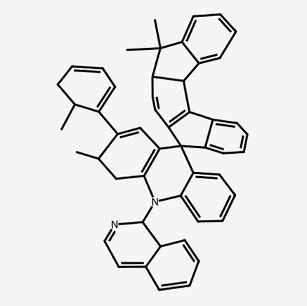 CC1CC=CC=C1C1=CC2=C(CC1C)N(C1N=CC=C3C=CC=CC31)c1ccccc1C21C2=C(c3ccccc31)C1c3ccccc3C(C)(C)C1C=C2